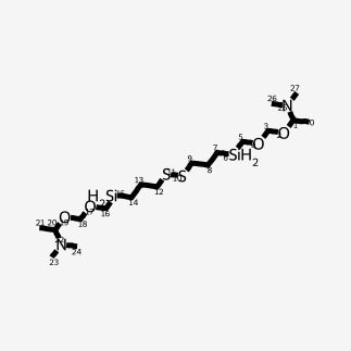 CC(OCOC[SiH2]CCCSSCCC[SiH2]COCOC(C)N(C)C)N(C)C